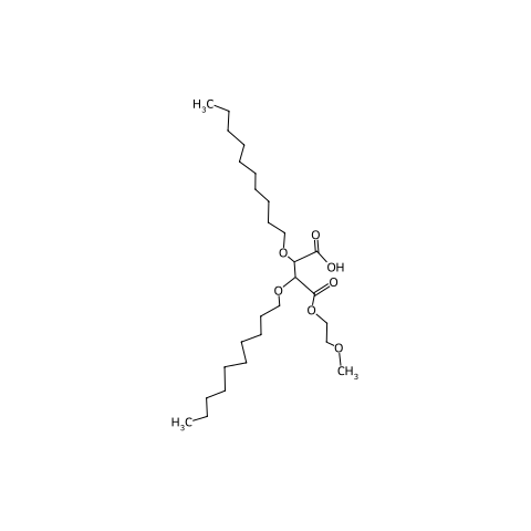 CCCCCCCCCCOC(C(=O)O)C(OCCCCCCCCCC)C(=O)OCCOC